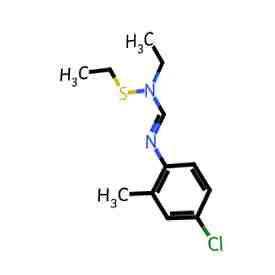 CCSN(C=Nc1ccc(Cl)cc1C)CC